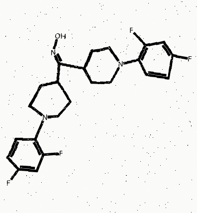 ON=C(C1CCN(c2ccc(F)cc2F)CC1)C1CCN(c2ccc(F)cc2F)CC1